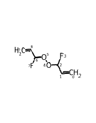 C=CC(F)OOC(F)C=C